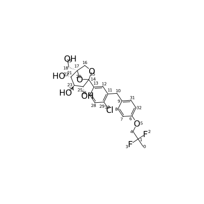 CC(F)(F)COc1ccc(Cc2cc(C34OC[C@@](CO)(O3)[C@@H](O)[C@H](O)[C@H]4O)ccc2Cl)cc1